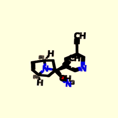 C#Cc1cncc(C2(C#N)C[C@H]3C=C[C@@H](C2)N3C(C)C#C)c1